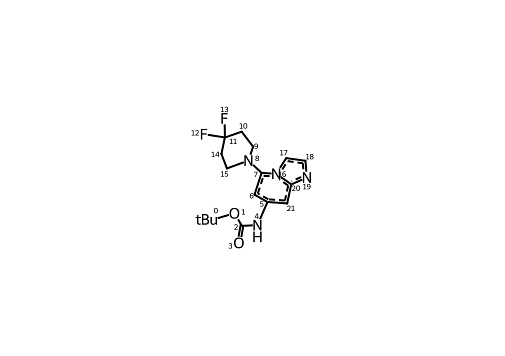 CC(C)(C)OC(=O)Nc1cc(N2CCC(F)(F)CC2)n2ccnc2c1